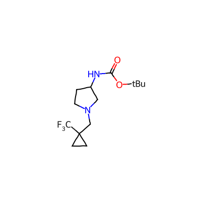 CC(C)(C)OC(=O)NC1CCN(CC2(C(F)(F)F)CC2)C1